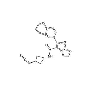 O=C(N[C@H]1C[C@H](N=C=S)C1)c1c(-c2ccc3ccccc3c2)nc2occn12